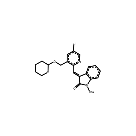 CC(C)(C)N1C(=O)/C(=C/c2ncc(Cl)cc2COC2CCCCO2)c2ccccc21